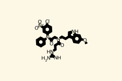 COc1ccc2c(CCN(CC(=O)N(c3ccccc3)c3ccc(Cl)c([N+](=O)[O-])c3)C(=O)CCNC(=N)N)c[nH]c2c1